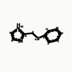 c1ccc(SCc2ncc[nH]2)cc1